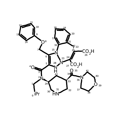 CC(C)CN(C(=O)C1=C(COc2ccccc2)N(c2ccccc2F)N(/C(=C/C(=O)O)C(=O)O)N1)[C@@H]1CNC[C@H](C(=O)N2CCOCC2)C1